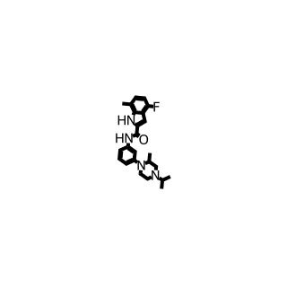 Cc1ccc(F)c2cc(C(=O)Nc3cccc(N4CCN(C(C)C)CC4C)c3)[nH]c12